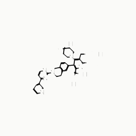 Cc1nc(C(C)(C)O)c(-c2ccc3c(c2)CCN(c2nccc(-c4cccnc4)n2)C3)c(N2CCC(C)(C)CC2)c1CC(=O)O